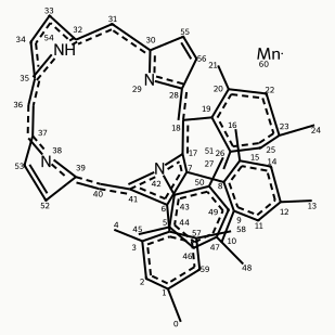 Cc1cc(C)c(-c2c(-c3c(C)cc(C)cc3C)c3c(-c4c(C)cc(C)cc4C)c4nc(cc5ccc(cc6nc(cc2n3-c2c(C)cc(C)cc2C)C=C6)[nH]5)C=C4)c(C)c1.[Mn]